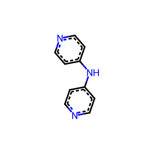 c1cc(Nc2ccncc2)ccn1